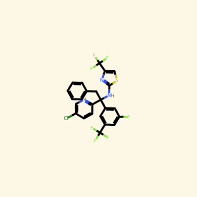 Fc1cc(C(F)(F)F)cc(C(Cc2ccccc2)(Nc2nc(C(F)(F)F)cs2)c2ccc(Cl)cn2)c1